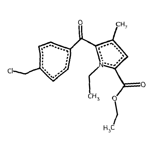 CCOC(=O)c1cc(C)c(C(=O)c2ccc(CCl)cc2)n1CC